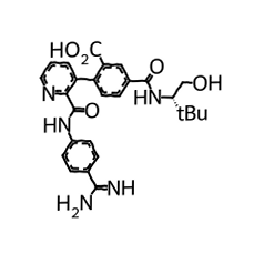 CC(C)(C)[C@@H](CO)NC(=O)c1ccc(-c2cccnc2C(=O)Nc2ccc(C(=N)N)cc2)c(C(=O)O)c1